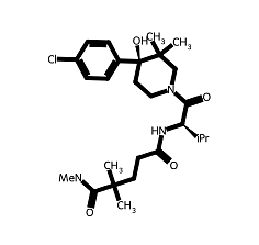 CNC(=O)C(C)(C)CCC(=O)N[C@@H](C(=O)N1CC[C@](O)(c2ccc(Cl)cc2)C(C)(C)C1)C(C)C